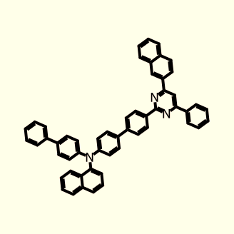 c1ccc(-c2ccc(N(c3ccc(-c4ccc(-c5nc(-c6ccccc6)cc(-c6ccc7ccccc7c6)n5)cc4)cc3)c3cccc4ccccc34)cc2)cc1